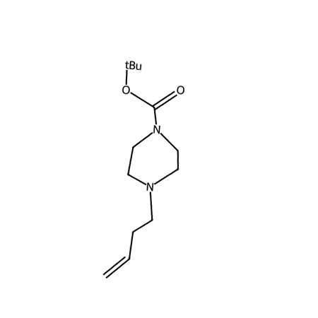 C=CCCN1CCN(C(=O)OC(C)(C)C)CC1